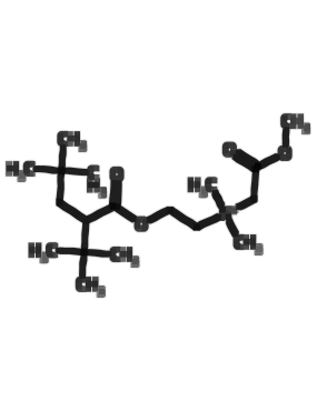 COC(=O)C[N+](C)(C)CCOC(=O)C(CC(C)(C)C)C(C)(C)C